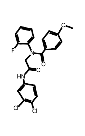 COc1ccc(C(=O)N(CC(=O)Nc2ccc(Cl)c(Cl)c2)c2ccccc2F)cc1